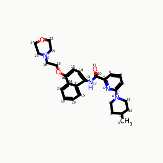 CC1CCN(c2cccc(C(=O)Nc3ccc(OCCN4CCOCC4)c4ccccc34)n2)CC1